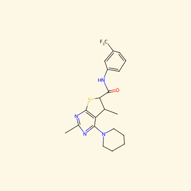 Cc1nc2c(c(N3CCCCC3)n1)C(C)C(C(=O)Nc1cccc(C(F)(F)F)c1)S2